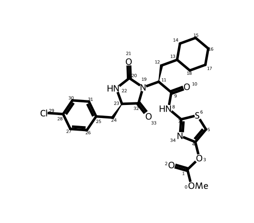 COC(=O)Oc1csc(NC(=O)[C@H](CC2CCCCC2)N2C(=O)N[C@H](Cc3ccc(Cl)cc3)C2=O)n1